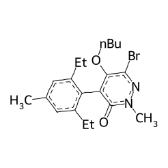 CCCCOc1c(Br)nn(C)c(=O)c1-c1c(CC)cc(C)cc1CC